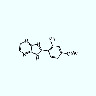 COc1ccc(-c2nc3nccnc3[nH]2)c(S)c1